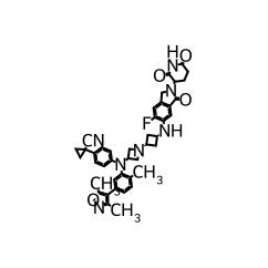 Cc1ccc(-c2c(C)noc2C)cc1N(c1ccc(C2(C#N)CC2)cc1)C1CN([C@H]2C[C@@H](Nc3cc4c(cc3F)CN(C3CCC(=O)NC3=O)C4=O)C2)C1